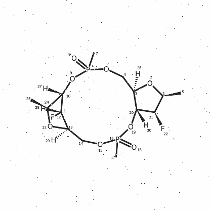 C[C@@H]1O[C@@H]2COP(C)(=O)O[C@@H]3[C@@H](F)[C@@H](COP(C)(=O)O[C@H]2[C@@H]1F)O[C@H]3C